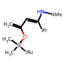 C=C(/C=C(/NNC)C(C)C)O[Si](C)(C)C(C)(C)C